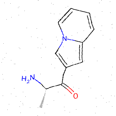 C[C@H](N)C(=O)c1cc2ccccn2c1